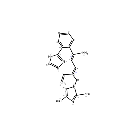 C=C/C(=C\C=C(/N)c1ccccc1-c1nnn[nH]1)Cn1nc(CCCC)nc1CCCC